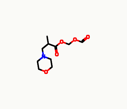 CC(CN1CCOCC1)C(=O)OCOC=O